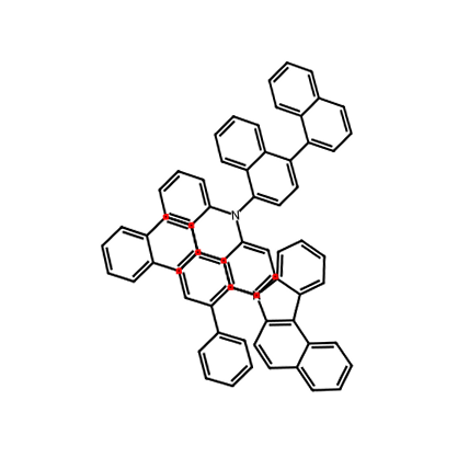 c1ccc(-c2ccc(-c3ccccc3N(c3ccccc3-c3ccc4ccccc4c3)c3ccc(-c4cccc5ccccc45)c4ccccc34)cc2-n2c3ccccc3c3c4ccccc4ccc32)cc1